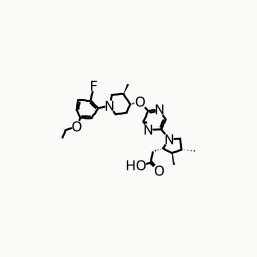 CCOc1ccc(F)c(N2CC[C@@H](Oc3cnc(N4C[C@H](C)[C@@H](C)[C@@H]4CC(=O)O)cn3)[C@H](C)C2)c1